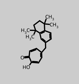 CC1(C)CCC(C)(C)c2cc(Cc3ccc(O)c(=O)cc3)ccc21